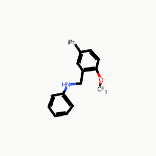 CC(C)c1ccc(OC(F)(F)F)c(CNc2[c]cccc2)c1